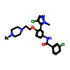 CC(=O)N1CCN(CCOc2ccc(NC(=O)c3cccc(Cl)c3)cc2-c2c(Cl)cnn2C)CC1